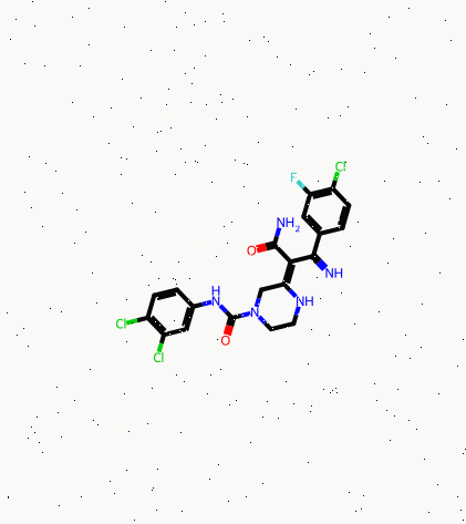 N=C(/C(C(N)=O)=C1/CN(C(=O)Nc2ccc(Cl)c(Cl)c2)CCN1)c1ccc(Cl)c(F)c1